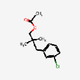 CC(=O)OCC(C)(C)Cc1cccc(Cl)c1